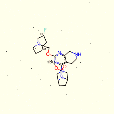 CCCCOC(=O)N1C2CCC1CN(c1nc(OC[C@@]34CCCN3C[C@H](F)C4)nc3c1CCNC3)C2